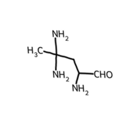 CC(N)(N)CC(N)C=O